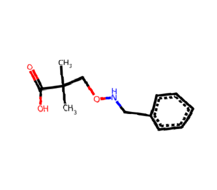 CC(C)(CONCc1ccccc1)C(=O)O